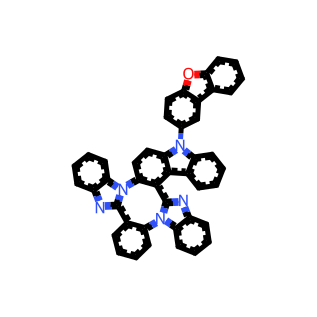 c1ccc2c(c1)nc1c3ccccc3n3c4ccccc4nc3c3c4c5ccccc5n(-c5ccc6oc7ccccc7c6c5)c4ccc3n21